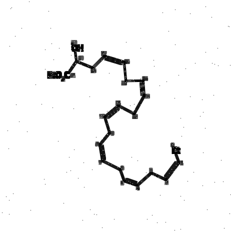 CC/C=C\C/C=C\C/C=C\C/C=C\C/C=C\C/C=C\CC(O)C(=O)OCC